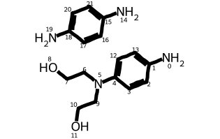 Nc1ccc(N(CCO)CCO)cc1.Nc1ccc(N)cc1